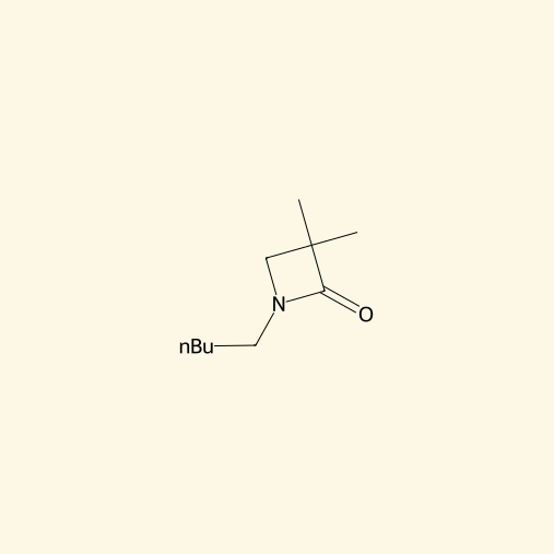 CCCCCN1CC(C)(C)C1=O